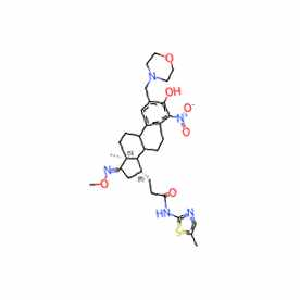 CON=C1C[C@@H](CCC(=O)Nc2ncc(C)s2)C2C3CCc4c(cc(CN5CCOCC5)c(O)c4[N+](=O)[O-])C3CC[C@]12C